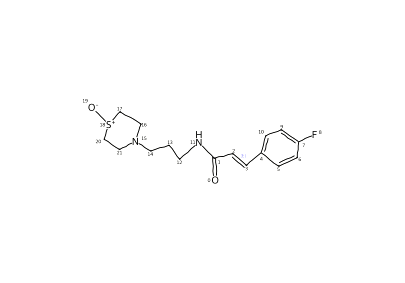 O=C(/C=C/c1ccc(F)cc1)NCCCN1CC[S+]([O-])CC1